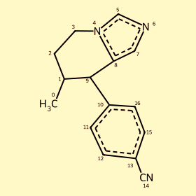 CC1CCn2cncc2C1c1ccc(C#N)cc1